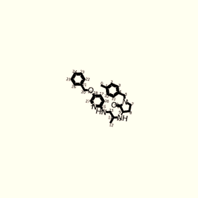 Cc1ccc(CN2CC[C@@H](NC(C)CNc3ccc(OCc4ccccc4)cn3)C2=O)cc1